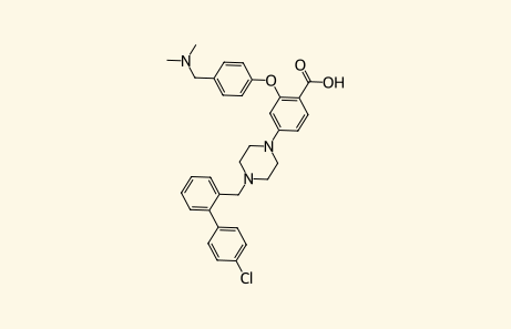 CN(C)Cc1ccc(Oc2cc(N3CCN(Cc4ccccc4-c4ccc(Cl)cc4)CC3)ccc2C(=O)O)cc1